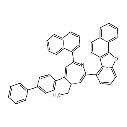 CCC1C=C(c2cccc3oc4c5ccccc5ccc4c23)N=C(c2cccc3ccccc23)C=C1c1ccc(-c2ccccc2)cc1